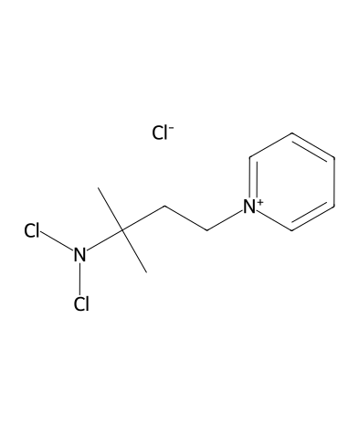 CC(C)(CC[n+]1ccccc1)N(Cl)Cl.[Cl-]